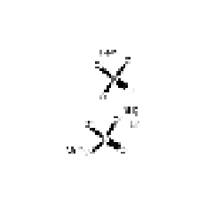 O=P([O-])([O-])[O-].O=P([O-])([O-])[O-].[Fe+2].[Li+].[Mn+2].[NH4+]